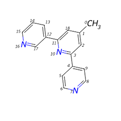 Cc1cc(-c2ccncc2)nc(-c2cccnc2)c1